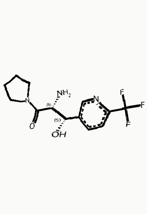 N[C@@H](C(=O)N1CCCC1)[C@@H](O)c1ccc(C(F)(F)F)nc1